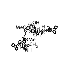 C=C1C[C@@H](CO)N(C(=O)c2cc(OC)c(OCCCCCOc3cc(NC(=O)OCC4c5ccccc5-c5ccccc54)c(C(=O)N4CC(=C)C[C@H]4C4NCCO4)cc3OC)cc2NC(=O)OCC(C)(C)SSCCC(=O)NCCNC(=O)OCC2c3ccccc3-c3ccccc32)C1